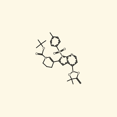 C=C1OB(c2ccnc3c2cc(C2=CN(C(=O)OC(C)(C)C)CCC2)n3S(=O)(=O)c2ccc(C)cc2)OC1(C)C